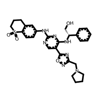 O=S1(=O)CCCc2cc(Nc3ncc(-c4nc(CN5CCCC5)no4)c(N[C@H](CO)c4ccccc4)n3)ccc21